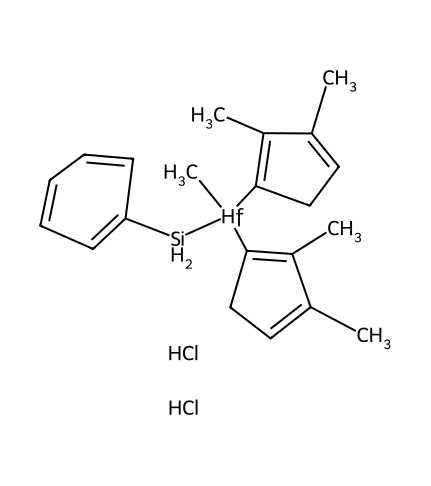 CC1=CC[C]([Hf]([CH3])([SiH2]c2ccccc2)[C]2=C(C)C(C)=CC2)=C1C.Cl.Cl